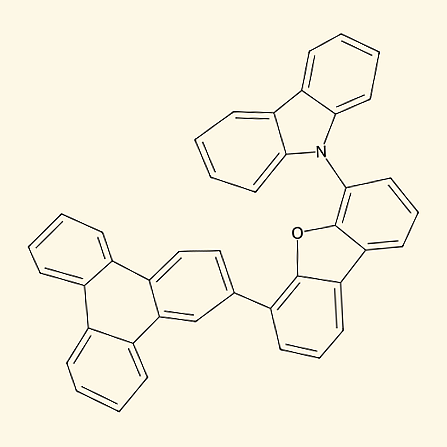 c1cc(-c2ccc3c4ccccc4c4ccccc4c3c2)c2oc3c(-n4c5ccccc5c5ccccc54)cccc3c2c1